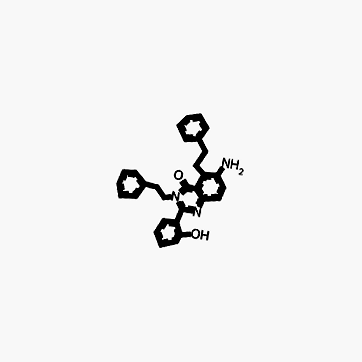 Nc1ccc2nc(-c3ccccc3O)n(CCc3ccccc3)c(=O)c2c1CCc1ccccc1